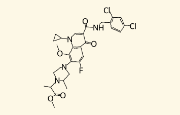 COC(=O)C(C)N1CCN(c2c(F)cc3c(=O)c(C(=O)NCc4ccc(Cl)cc4Cl)cn(C4CC4)c3c2OC)CC1C